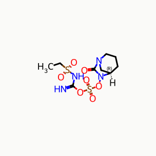 CCS(=O)(=O)NC(=N)OS(=O)(=O)ON1C(=O)N2CCC[C@@H]1C2